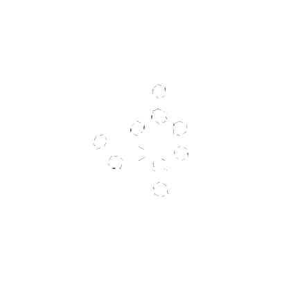 C1=C(C2=NC(c3ccccc3)NC(c3ccccc3)=N2)C=C(c2cccc(-c3nc(-c4ccccc4)nc(-c4ccccc4)n3)c2)C2Sc3c(-c4ccccc4)cccc3C12